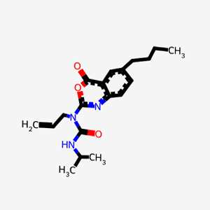 C=CCN(C(=O)NC(C)C)c1nc2ccc(CCCC)cc2c(=O)o1